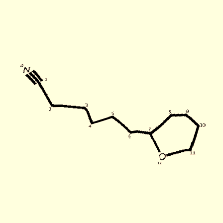 N#CCCCCCC1CCCCO1